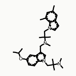 Cc1cc(C)c2c(ccn2CC(C)(C)N(C)Cc2cn(CC(C)(C)N(C)C)c3ccc(OC(C)C)cc23)c1